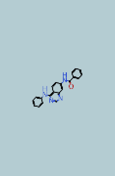 O=C(Nc1ccc2c(Nc3ccccc3)ncnc2c1)c1ccccc1